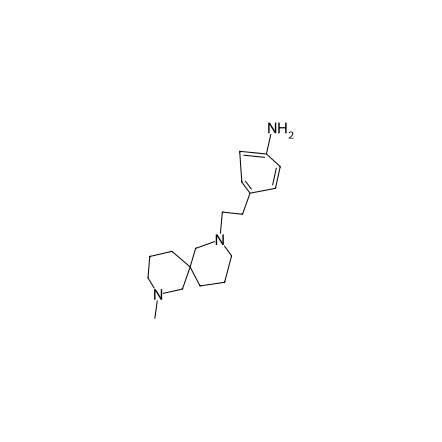 CN1CCCC2(CCCN(CCc3ccc(N)cc3)C2)C1